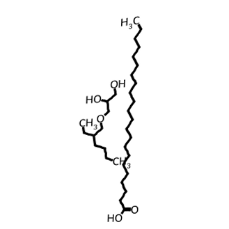 CCCCC(CC)COCC(O)CO.CCCCCCCCCCCCCCCCCCCCCC(=O)O